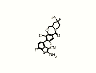 CC(C)C1(F)CCN2C(=O)c3cc(F)c(-c4ccc(F)c5sc(N)c(C#N)c45)c(Cl)c3OCC2C1